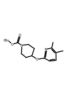 Cc1ccc(OC2CCN(C(=O)OC(C)(C)C)CC2)nc1C